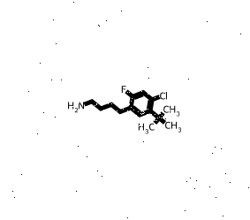 CC(C)(C)c1cc(CCCCN)c(F)cc1Cl